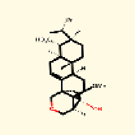 COC1C[C@@]23COC[C@@](C)([C@@H]2CC[C@H]2C3=CC[C@@]3(C)[C@H](C(=O)O)[C@@](C)([C@H](C)C(C)C)CC[C@]23C)[C@H]1O